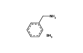 B.NCc1ccccc1